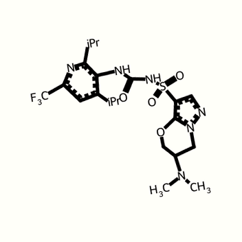 CC(C)c1cc(C(F)(F)F)nc(C(C)C)c1NC(=O)NS(=O)(=O)c1cnn2c1OCC(N(C)C)C2